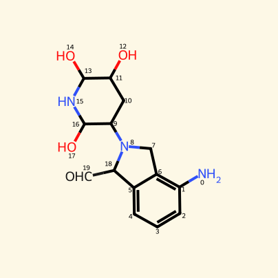 Nc1cccc2c1CN(C1CC(O)C(O)NC1O)C2C=O